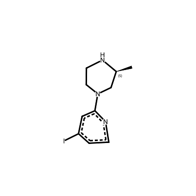 C[C@H]1CN(c2cc(I)ccn2)CCN1